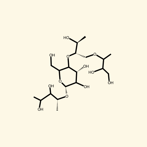 CC(O)C(O)[C@@H](C)O[C@@H]1OC(CO)C(O[C@@H](COC(C)C(O)CO)[C@H](C)O)[C@H](O)C1O